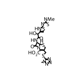 CNC(=S)/N=c1/[nH]c(C(O)C(=O)NC2C(=O)N3C(C(=O)O)=C(CSc4nnnn4C)CS[C@H]23)cs1